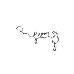 Cc1ccc(Cl)cc1-c1cc(NC(=O)CCCN2CCCCC2)[nH]n1